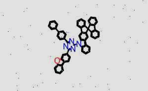 c1ccc(-c2ccc(-c3nc(-c4ccc5c(c4)oc4ccccc45)nc(-n4c5ccccc5c5cc6c(cc54)-c4ccccc4C64c5ccccc5-c5ccccc54)n3)cc2)cc1